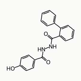 O=C(NNC(=O)c1ccccc1-c1ccccc1)c1ccc(O)cc1